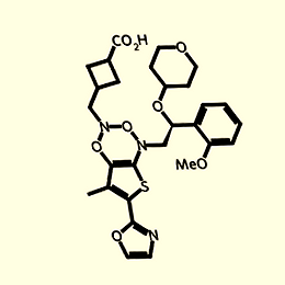 COc1ccccc1[C@@H](Cn1on(CC2CC(C(=O)O)C2)oc2c(C)c(-c3ncco3)sc21)OC1CCOCC1